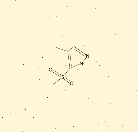 CC1=C(S(C)(=O)=O)[N]N=C1